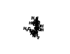 CCOC(=O)[C@@H](OC[C@H]1O[C@@H](n2cnc3c(N)nc(SCC)nc32)[C@H](O)[C@@H]1O)[PH](O)(O)O